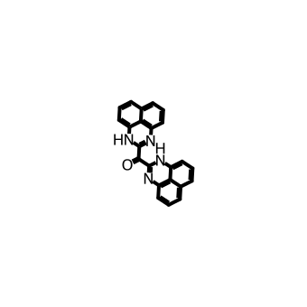 O=C(C1=Nc2cccc3cccc(c23)N1)C1=Nc2cccc3cccc(c23)N1